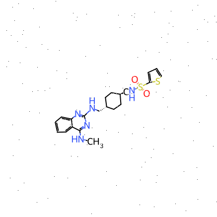 CNc1nc(NC[C@H]2CC[C@H](CNS(=O)(=O)c3cccs3)CC2)nc2ccccc12